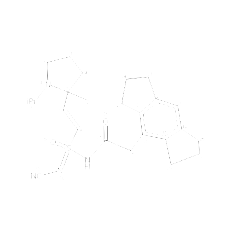 CC(C)N1CCCC1(C)C=CS(=O)(=NC#N)NC(=O)Cc1c2c(cc3c1CCC3)CCC2